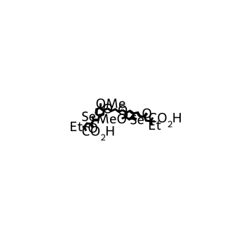 CCC(CC(=O)c1cc2cc(OCCCOc3cc4cc(C(=O)CC(CC)C(=O)O)[se]c4cc3OC)c(OC)cc2[se]1)C(=O)O